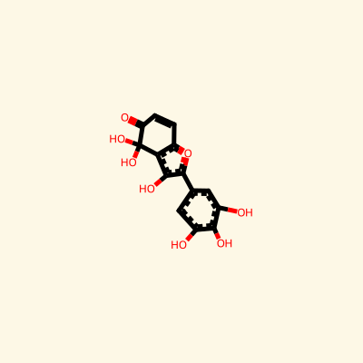 O=C1C=Cc2oc(-c3cc(O)c(O)c(O)c3)c(O)c2C1(O)O